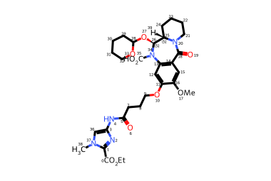 CCOC(=O)c1nc(NC(=O)CCCOc2cc3c(cc2OC)C(=O)N2CCCC[C@H]2[C@H](OC2CCCCO2)N3C(=O)O)cn1C